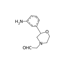 Nc1cccc(C2CN(CC=O)CCO2)c1